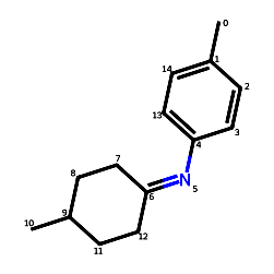 Cc1ccc(N=C2CCC(C)CC2)cc1